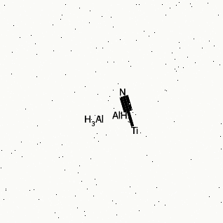 N#[C][Ti].[AlH3].[AlH3]